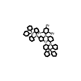 CC(C)c1cc(C(C)C)c(B2c3cc(N4c5ccccc5[Si](c5ccccc5)(c5ccccc5)c5ccccc54)ccc3Oc3c2cccc3N2c3ccccc3[Si](c3ccccc3)(c3ccccc3)c3ccccc32)c(C(C)C)c1